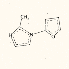 Cc1nccn1-c1cc[c]o1